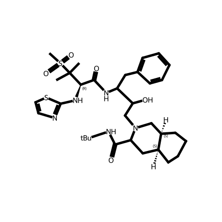 CC(C)(C)NC(=O)C1C[C@@H]2CCCC[C@@H]2CN1CC(O)C(Cc1ccccc1)NC(=O)[C@@H](Nc1nccs1)C(C)(C)S(C)(=O)=O